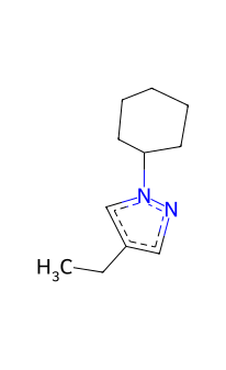 CCc1cnn(C2CCCCC2)c1